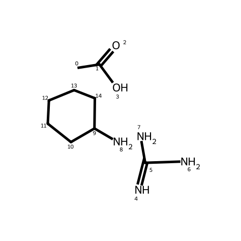 CC(=O)O.N=C(N)N.NC1CCCCC1